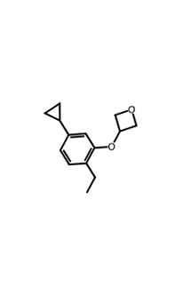 CCc1ccc(C2CC2)cc1OC1COC1